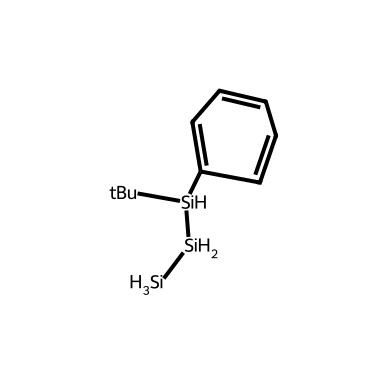 CC(C)(C)[SiH]([SiH2][SiH3])c1ccccc1